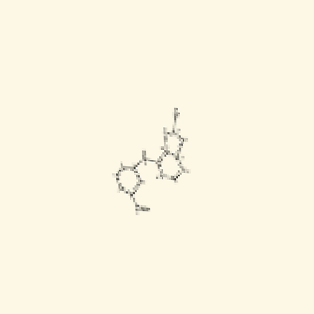 COc1cccc(Nc2ncnc3cc(Br)sc23)c1